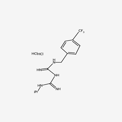 CC(C)NC(=N)NC(=N)NCc1ccc(C(F)(F)F)cc1.Cl.Cl